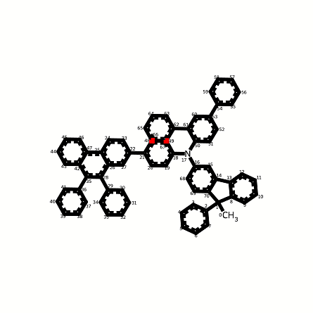 CC1(c2ccccc2)c2ccccc2-c2cc(N(c3ccc(-c4ccc5c(c4)c(-c4ccccc4)c(-c4ccccc4)c4ccccc45)cc3)c3ccc(-c4ccccc4)cc3-c3ccccc3)ccc21